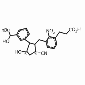 CCCCC(O)c1cccc(C2C(Cc3cccc(CCC(=O)O)c3[N+](=O)[O-])[C@H](C#N)C[C@H]2O)c1